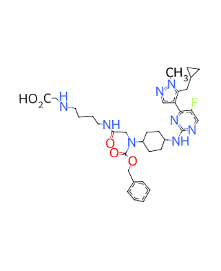 Cn1ncc(-c2nc(NC3CCC(N(CC(=O)NCCCCNCC(=O)O)C(=O)OCc4ccccc4)CC3)ncc2F)c1CC1CC1